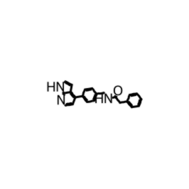 O=C(Cc1ccccc1)NCc1ccc(-c2ccnc3[nH]ccc23)cc1